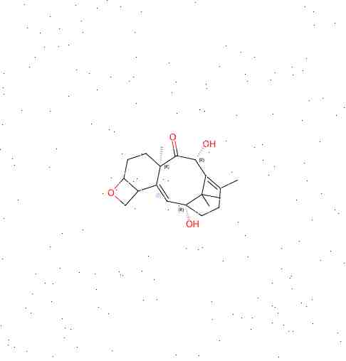 CC1=C2[C@@H](O)C(=O)[C@]3(C)CCC4OCC4/C3=C/[C@](O)(CC1)C2(C)C